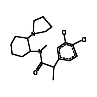 CC(C(=O)N(C)C1CCCCC1N1CCCC1)c1ccc(Cl)c(Cl)c1